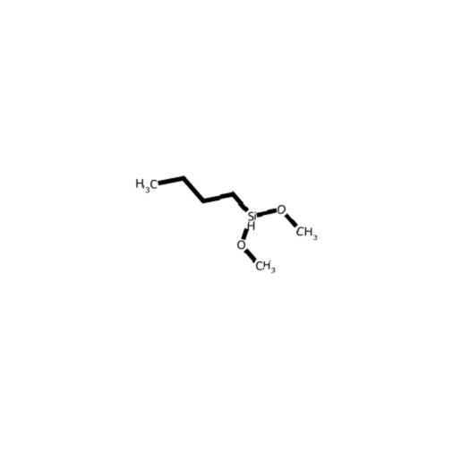 CCC[CH][SiH](OC)OC